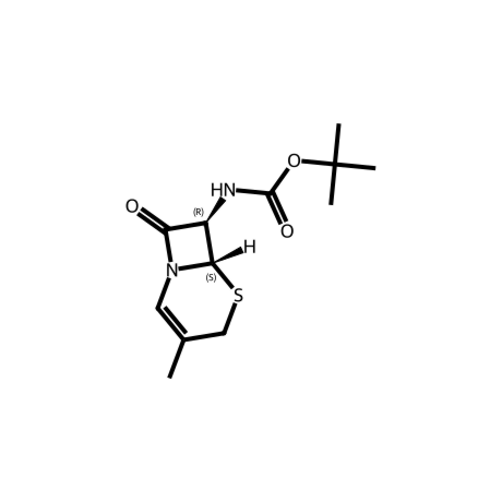 CC1=CN2C(=O)[C@@H](NC(=O)OC(C)(C)C)[C@@H]2SC1